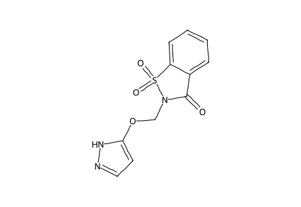 O=C1c2ccccc2S(=O)(=O)N1COc1ccn[nH]1